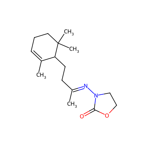 CC1=CCCC(C)(C)C1CCC(C)=NN1CCOC1=O